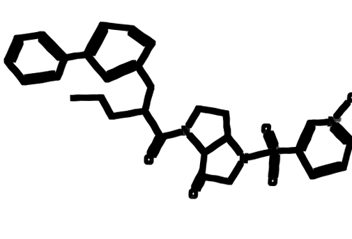 CCCC(Cc1cccc(-c2ccccc2)c1)C(=O)N1CCC2C1C(=O)CN2S(=O)(=O)c1ccc[n+]([O-])c1